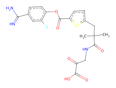 CC(C)(Cc1ccc(C(=O)Oc2ccc(C(=N)N)cc2F)s1)C(=O)NCC(=O)C(=O)O